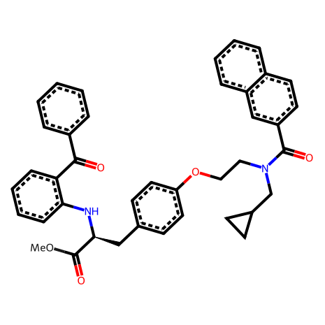 COC(=O)[C@H](Cc1ccc(OCCN(CC2CC2)C(=O)c2ccc3ccccc3c2)cc1)Nc1ccccc1C(=O)c1ccccc1